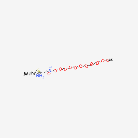 CCOCCOCCOCCOCCOCCOCCOCCOCCOCCOCCOCCNC(=O)CCCC[C@@H]1SCC(NC)C1N